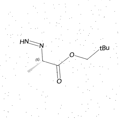 C[C@H](N=N)C(=O)OCC(C)(C)C